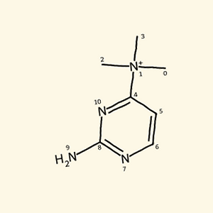 C[N+](C)(C)c1ccnc(N)n1